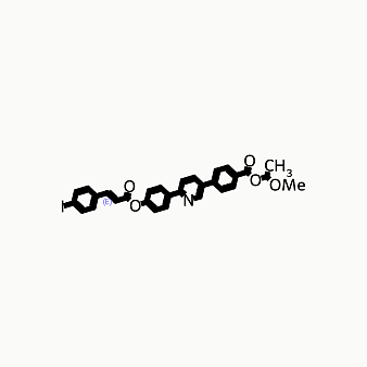 COC(C)OC(=O)c1ccc(-c2ccc(-c3ccc(OC(=O)/C=C/c4ccc(I)cc4)cc3)nc2)cc1